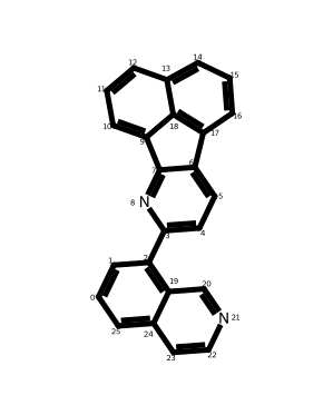 c1cc(-c2ccc3c(n2)-c2cccc4cccc-3c24)c2cnccc2c1